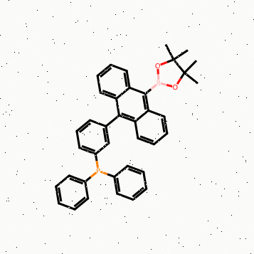 CC1(C)OB(c2c3ccccc3c(-c3cccc(P(c4ccccc4)c4ccccc4)c3)c3ccccc23)OC1(C)C